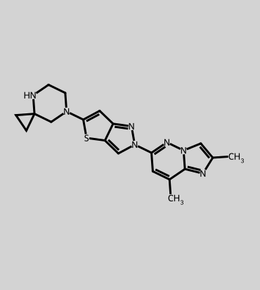 Cc1cn2nc(-n3cc4sc(N5CCNC6(CC6)C5)cc4n3)cc(C)c2n1